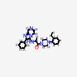 CCc1ccccc1N1CCN(C(=O)C(C)Nc2c(-c3ccccc3)nc3cnccn23)CC1